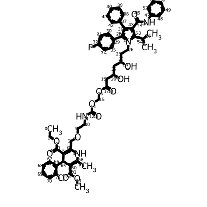 CCOC(=O)C1=C(COCCNC(=O)OCOC(=O)CC(O)CC(O)CCn2c(-c3ccc(F)cc3)c(-c3ccccc3)c(C(=O)Nc3ccccc3)c2C(C)C)NC(C)=C(C(=O)OC)C1c1ccccc1Cl